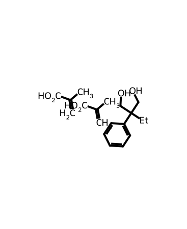 C=C(C)C(=O)O.C=C(C)C(=O)O.CCC(CO)(CO)c1ccccc1